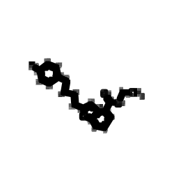 CCOC(=O)c1cccc2oc(C=CC=Cc3ccc(F)cc3)cc12